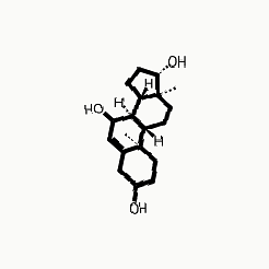 C[C@]12CC[C@H]3[C@@H](C(O)C=C4CC(O)CC[C@@]43C)[C@@H]1CC[C@@H]2O